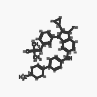 CN1CC=C(c2ccc(Nc3ncc4c(F)c(C5CC5)n(-c5cccc(N=S(C)(C)=O)n5)c4n3)cc2)CC1